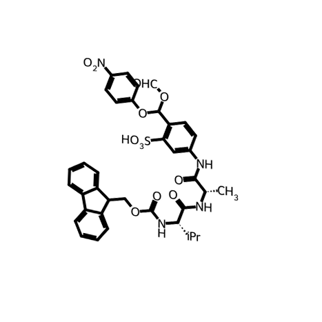 CC(C)[C@H](NC(=O)OCC1c2ccccc2-c2ccccc21)C(=O)N[C@@H](C)C(=O)Nc1ccc(C(OC=O)Oc2ccc([N+](=O)[O-])cc2)c(S(=O)(=O)O)c1